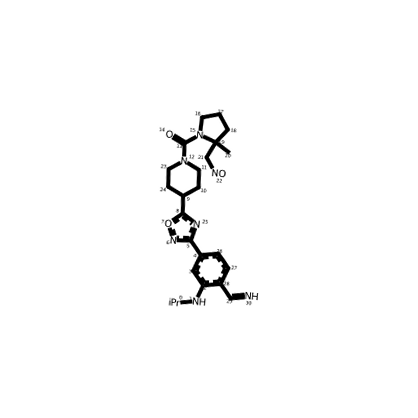 CC(C)Nc1cc(-c2noc(C3CCN(C(=O)N4CCCC4(C)CN=O)CC3)n2)ccc1C=N